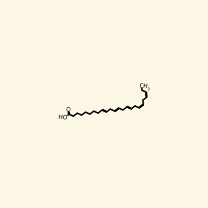 CC/C=C\C/C=C\CC=CCC=CCC=CCCCCCCCC(=O)O